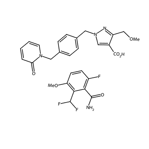 COCc1nn(Cc2ccc(Cn3ccccc3=O)cc2)cc1C(=O)O.COc1ccc(F)c(C(N)=O)c1C(F)F